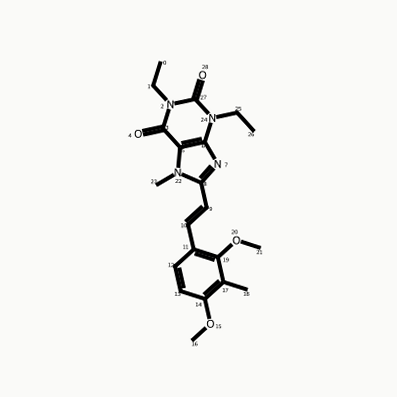 CCn1c(=O)c2c(nc(C=Cc3ccc(OC)c(C)c3OC)n2C)n(CC)c1=O